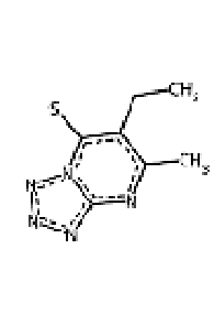 CCc1c(C)nc2nnnn2c1[S]